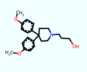 COc1ccc(C2(c3ccc(OC)cc3)CCN(CCCO)CC2)cc1